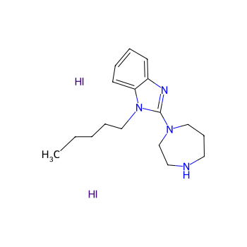 CCCCCn1c(N2CCCNCC2)nc2ccccc21.I.I